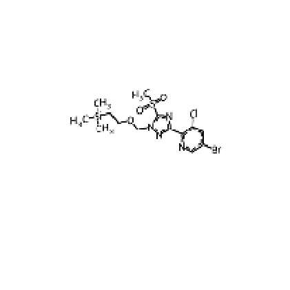 C[Si](C)(C)CCOCn1nc(-c2ncc(Br)cc2Cl)nc1S(C)(=O)=O